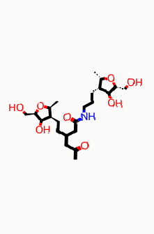 CC(=O)CC(CC[C@H]1C(O)[C@@H](CO)O[C@H]1C)CC(=O)NCCC[C@H]1C(O)[C@@H](CO)O[C@H]1C